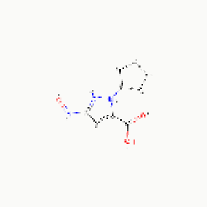 O=Nc1cc(C(=O)O)n(C2CCCC2)n1